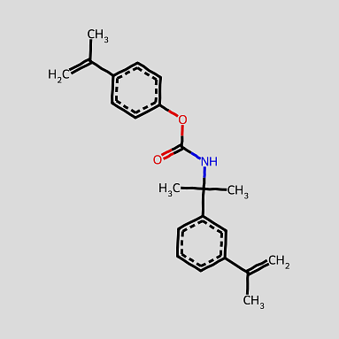 C=C(C)c1ccc(OC(=O)NC(C)(C)c2cccc(C(=C)C)c2)cc1